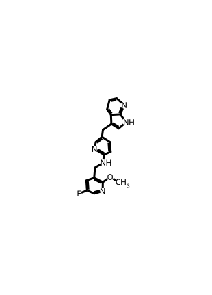 COc1ncc(F)cc1CNc1ccc(Cc2c[nH]c3ncccc23)cn1